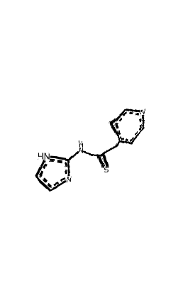 S=C(Nc1ncc[nH]1)c1ccncc1